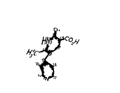 Cc1[nH]c(=O)c(C(=O)O)cc1-c1ccncc1